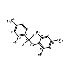 Cc1ccc(C(F)(F)Oc2c(F)cc(C)cc2F)c(F)c1